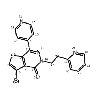 O=c1c2c(Br)csc2c(-c2ccncc2)nn1CCc1ccccn1